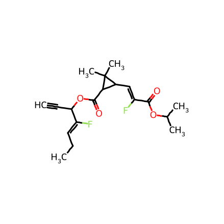 C#CC(OC(=O)C1C(C=C(F)C(=O)OC(C)C)C1(C)C)C(F)=CCC